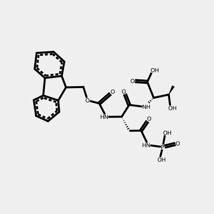 C[C@@H](O)[C@H](NC(=O)[C@H](CC(=O)NP(=O)(O)O)NC(=O)OCC1c2ccccc2-c2ccccc21)C(=O)O